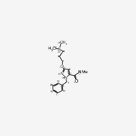 CNC(=O)c1cc(OCCCN(C)C)nn1Cc1ccccc1